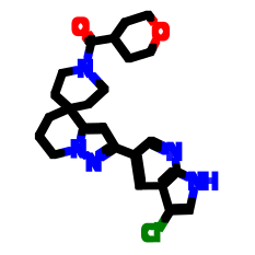 O=C(C1CCOCC1)N1CCC2(CCCn3nc(-c4cnc5[nH]cc(Cl)c5c4)cc32)CC1